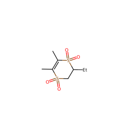 CCC1CS(=O)(=O)C(C)=C(C)S1(=O)=O